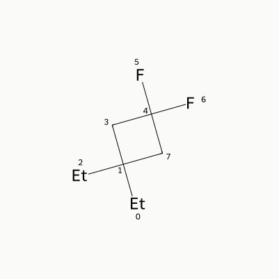 CCC1(CC)CC(F)(F)C1